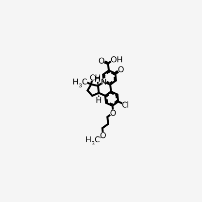 COCCCOc1cc2c(cc1Cl)-c1cc(=O)c(C(=O)O)cn1[C@@H]1[C@@H]2CCC1(C)C